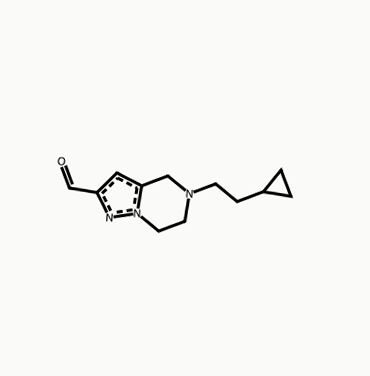 O=Cc1cc2n(n1)CCN(CCC1CC1)C2